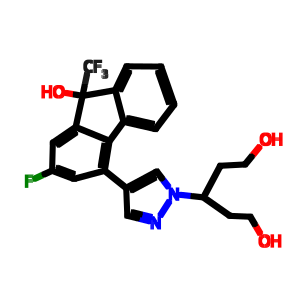 OCCC(CCO)n1cc(-c2cc(F)cc3c2-c2ccccc2C3(O)C(F)(F)F)cn1